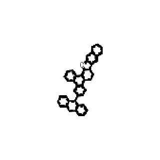 c1ccc2cc3c(cc2c1)oc1c3ccc2c3ccc(-c4c5ccccc5cc5ccccc45)cc3c3ccccc3c21